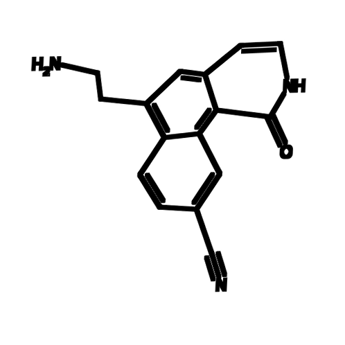 N#Cc1ccc2c(CCN)cc3cc[nH]c(=O)c3c2c1